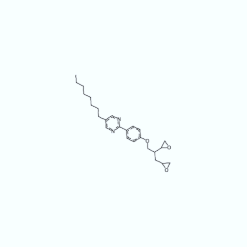 CCCCCCCCc1cnc(-c2ccc(OCC(CC3CO3)C3CO3)cc2)nc1